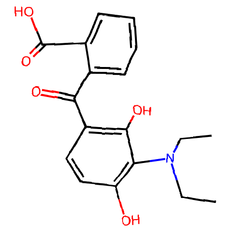 CCN(CC)c1c(O)ccc(C(=O)c2ccccc2C(=O)O)c1O